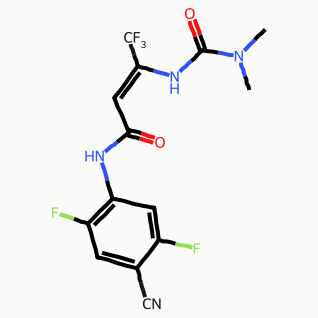 CN(C)C(=O)N/C(=C\C(=O)Nc1cc(F)c(C#N)cc1F)C(F)(F)F